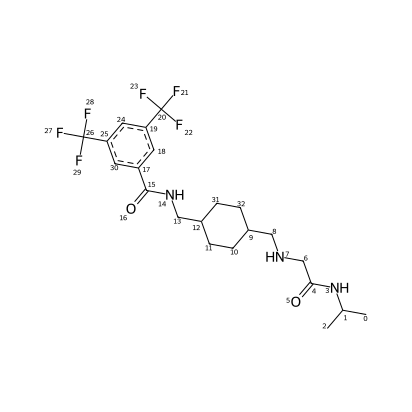 CC(C)NC(=O)CNCC1CCC(CNC(=O)c2cc(C(F)(F)F)cc(C(F)(F)F)c2)CC1